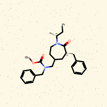 CC(C)C[C@@H](C)N1CCC(CN(Cc2ccccc2)C(=O)OC(C)(C)C)C[C@@H](Cc2ccccc2)C1=O